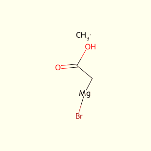 O=C(O)[CH2][Mg][Br].[CH3]